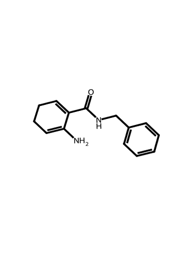 NC1=CCCC=C1C(=O)NCc1ccccc1